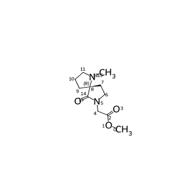 COC(=O)CN1CC[C@]2(CCCN2C)C1=O